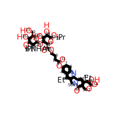 CCc1c2c(nc3ccc(OC(=O)CCCOC(=O)[C@H]4O[C@@H](OC(C)C)[C@H](O)[C@@H](O)[C@@H]4O[C@@H]4O[C@H](CO)[C@@H](O)[C@H](OC(C)C)[C@H]4NC(C)=O)cc13)-c1cc3c(c(=O)n1C2)COC(=O)[C@]3(O)CC